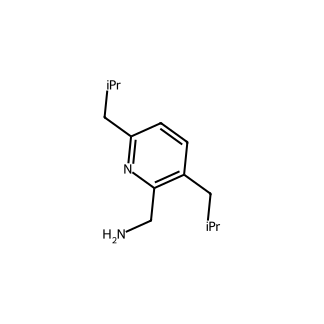 CC(C)Cc1ccc(CC(C)C)c(CN)n1